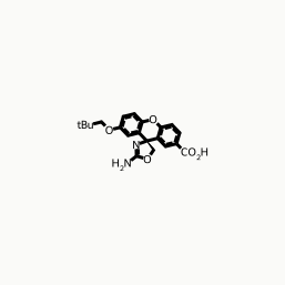 CC(C)(C)COc1ccc2c(c1)[C@]1(COC(N)=N1)c1cc(C(=O)O)ccc1O2